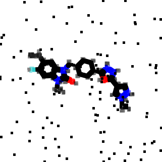 COc1cc2c(cc1F)n(C)c(=O)n2C[C@H]1CC[C@H](c2nnc(-c3cnn(C)c3)o2)CC1